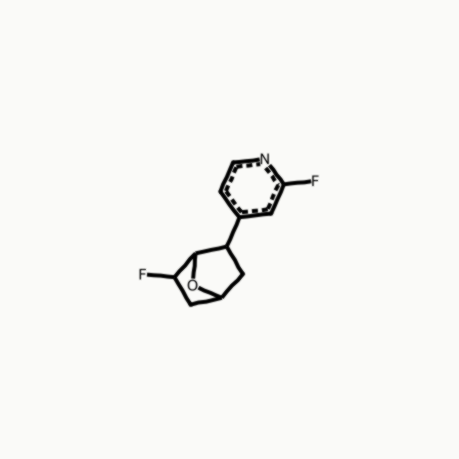 Fc1cc(C2CC3CC(F)C2O3)ccn1